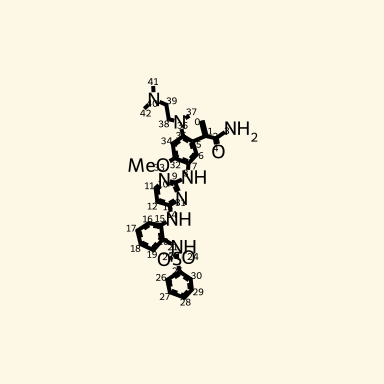 C=C(C(N)=O)c1cc(Nc2nccc(Nc3ccccc3NS(=O)(=O)c3ccccc3)n2)c(OC)cc1N(C)CCN(C)C